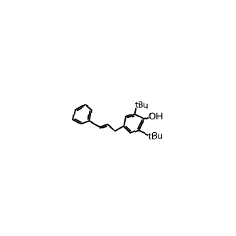 CC(C)(C)c1cc(CC=Cc2ccccc2)cc(C(C)(C)C)c1O